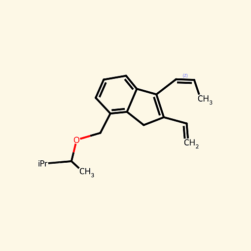 C=CC1=C(/C=C\C)c2cccc(COC(C)C(C)C)c2C1